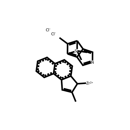 CC1=C2C3=CN=CC3=C1[Si]2(C)C.CC1=Cc2c(ccc3ccccc23)[CH]1[Zr+2].[Cl-].[Cl-]